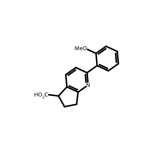 COc1ccccc1-c1ccc2c(n1)CCC2C(=O)O